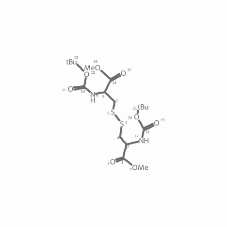 COC(=O)C(CSSCC(NC(=O)OC(C)(C)C)C(=O)OC)NC(=O)OC(C)(C)C